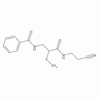 CSC(CNC(=O)c1ccccc1)C(=O)NCCC#N